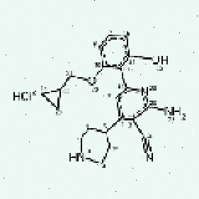 Cl.N#Cc1c(C2CCNCC2)cc(-c2c(O)cccc2OCC2CC2)nc1N